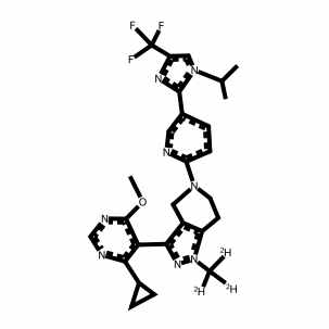 [2H]C([2H])([2H])n1nc(-c2c(OC)ncnc2C2CC2)c2c1CCN(c1ccc(-c3nc(C(F)(F)F)cn3C(C)C)cn1)C2